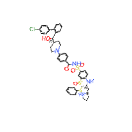 O=[S+]c1cc(S(=O)(=O)NC(=O)c2ccc(N3CCC([C@@H](O)c4ccccc4-c4ccc(Cl)cc4)CC3)cc2)ccc1N[C@@H](CSc1ccccc1)C[C@H]1CCCN1